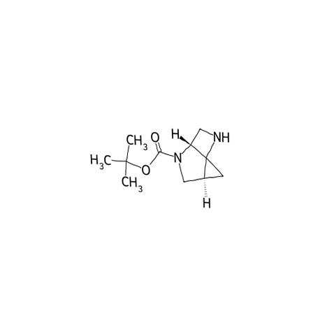 CC(C)(C)OC(=O)N1C[C@@H]2CC23NC[C@@H]13